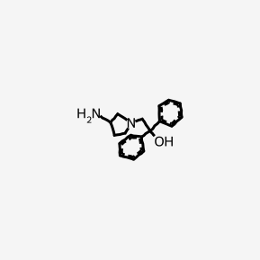 NC1CCN(CC(O)(c2ccccc2)c2ccccc2)C1